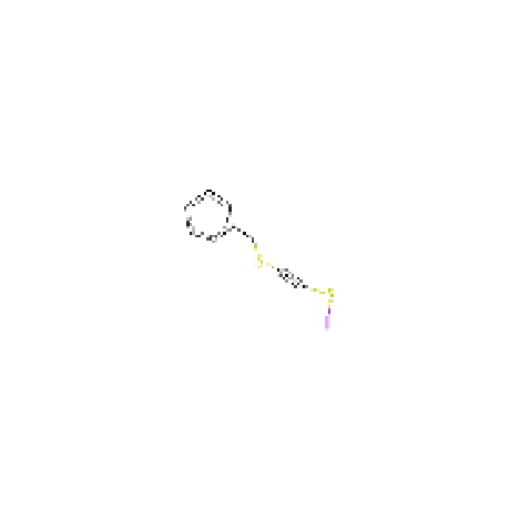 ISC#CSCc1ccccc1